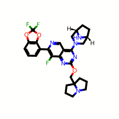 Fc1c(-c2cccc3c2OC(F)(F)O3)ncc2c(N3C[C@H]4CC[C@@H](C3)N4)nc(OCC34CCCN3CCC4)nc12